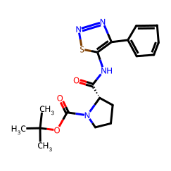 CC(C)(C)OC(=O)N1CCC[C@H]1C(=O)Nc1snnc1-c1ccccc1